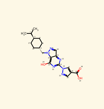 CC(C)[C@H]1CC[C@H](Cn2ncc3nc(-n4cc(C(=O)O)cn4)nc(O)c32)CC1